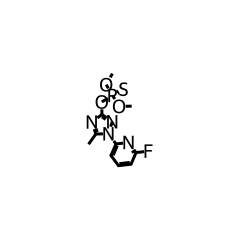 COP(=S)(OC)Oc1nc(C)n(-c2cccc(F)n2)n1